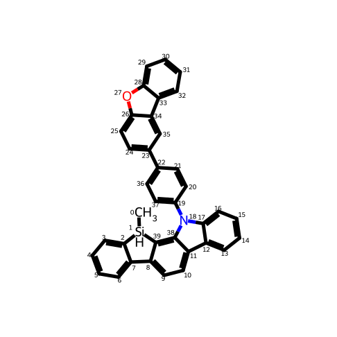 C[SiH]1c2ccccc2-c2ccc3c4ccccc4n(-c4ccc(-c5ccc6oc7ccccc7c6c5)cc4)c3c21